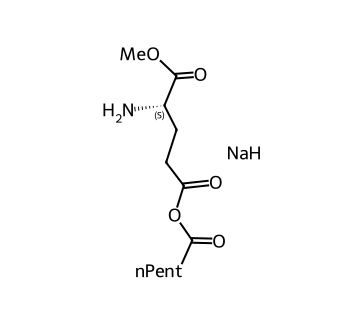 CCCCCC(=O)OC(=O)CC[C@H](N)C(=O)OC.[NaH]